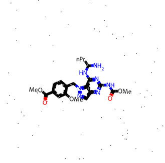 CCCC(N)Nc1nc(NC(=O)OC)nc2cnn(Cc3ccc(C(=O)OC)cc3OC)c12